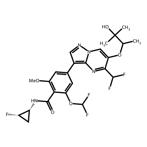 COc1cc(-c2cnn3cc(OC(C)C(C)(C)O)c(C(F)F)nc23)cc(OC(F)F)c1C(=O)N[C@@H]1C[C@@H]1F